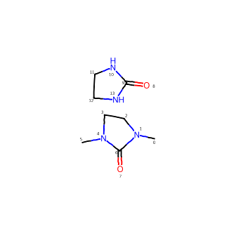 CN1CCN(C)C1=O.O=C1NCCN1